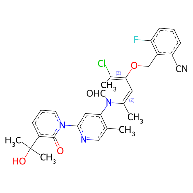 C/C(=C/C(OCc1c(F)cccc1C#N)=C(\C)Cl)N(C=O)c1cc(-n2cccc(C(C)(C)O)c2=O)ncc1C